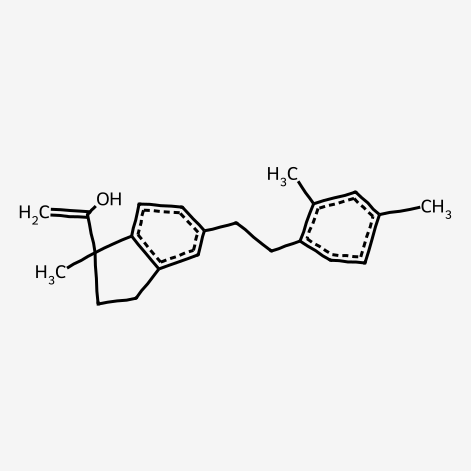 C=C(O)C1(C)CCc2cc(CCc3ccc(C)cc3C)ccc21